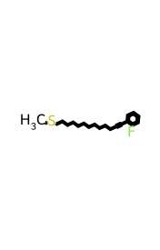 CCSCCCCCCCCCCCC#Cc1ccccc1F